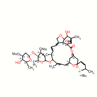 CC[C@H](C)[C@@H]1OC2(C=CC1C)C[C@H]1C[C@H](C/C=C(\C)C(OC3C[C@H](OC)[C@H](O[C@H]4C[C@H](OC)[C@H](O)[C@H](C)O4)[C@H](C)O3)[C@@H](C)/C=C/C=C3\COC4C(O)C(C)=C[C@@H](C(=O)O1)[C@@]34O)O2